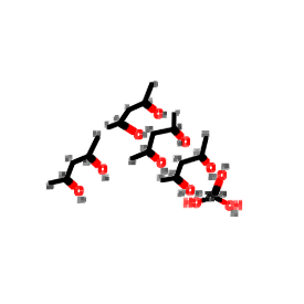 CC(=O)CC(C)=O.CC(=O)CC(C)=O.CC(=O)CC(C)=O.CC(=O)CC(C)=O.[O]=[Zr]([OH])[OH]